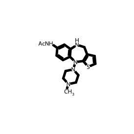 CC(=O)Nc1ccc2c(c1)NCc1ccsc1N2N1CCN(C)CC1